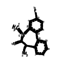 CN1C(=O)C(N)c2ccccc2-c2ccc(F)cc21